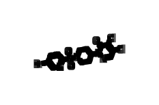 O=c1c(Cl)c(Cl)cnn1C1CCN(S(=O)(=O)c2ccc(Br)cn2)CC1